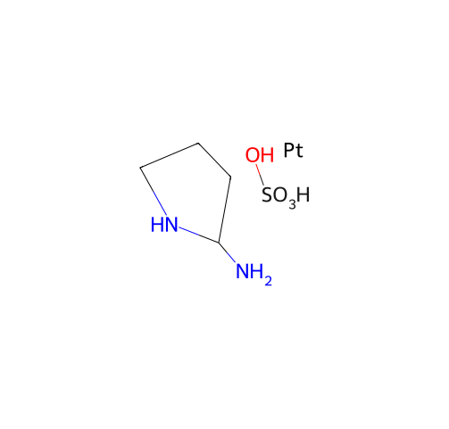 NC1CCCN1.O=S(=O)(O)O.[Pt]